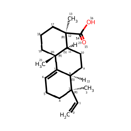 C=C[C@@]1(C)CCC=C2[C@H]1CC[C@@H]1[C@](C)(C(=O)O)CCC[C@@]21C